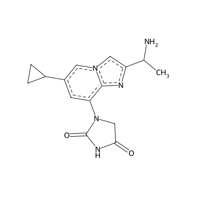 CC(N)c1cn2cc(C3CC3)cc(N3CC(=O)NC3=O)c2n1